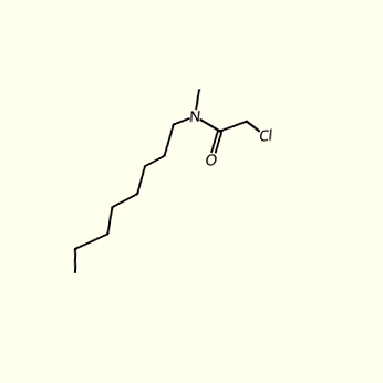 CCCCCCCCN(C)C(=O)CCl